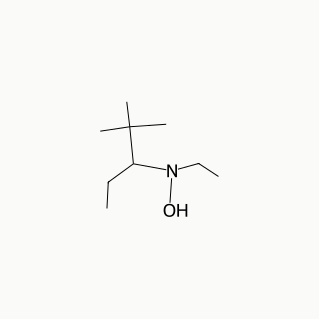 CCC(N(O)CC)C(C)(C)C